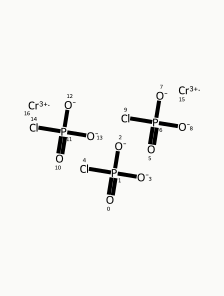 O=P([O-])([O-])Cl.O=P([O-])([O-])Cl.O=P([O-])([O-])Cl.[Cr+3].[Cr+3]